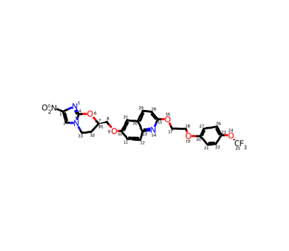 O=[N+]([O-])c1cn2c(n1)O[C@@H](COc1ccc3nc(OCCOc4ccc(OC(F)(F)F)cc4)ccc3c1)CC2